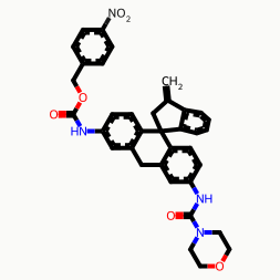 C=C1CC2(c3ccc(NC(=O)OCc4ccc([N+](=O)[O-])cc4)cc3Cc3cc(NC(=O)N4CCOCC4)ccc32)c2ccccc21